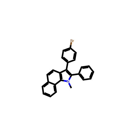 Cn1c(-c2ccccc2)c(-c2ccc(Br)cc2)c2ccc3ccccc3c21